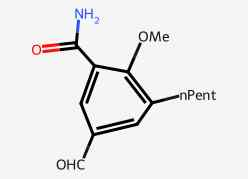 CCCCCc1cc(C=O)cc(C(N)=O)c1OC